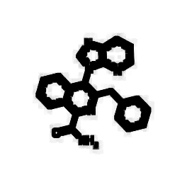 NC(=O)c1nc(Cc2ccccc2)c(-n2cnc3cccnc32)c2ccccc12